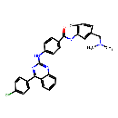 Cc1ccc(CN(C)C)cc1NC(=O)c1ccc(Nc2nc(-c3ccc(Cl)cc3)c3ccccc3n2)cc1